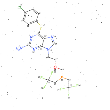 Nc1nc(Sc2ccc(Cl)cc2)c2ncn(CCOCP(CC(F)(F)F)CC(F)(F)F)c2n1